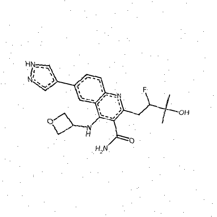 CC(C)(O)C(F)Cc1nc2ccc(-c3cn[nH]c3)cc2c(NC2COC2)c1C(N)=O